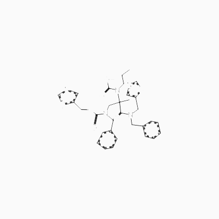 CCCN(C(=O)O)C(C)(CN(Cc1ccccc1)C(=O)OCc1cncs1)C(=O)N(Cc1ccccc1)Cc1cncs1